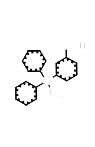 O=C(O)c1cccc([P+](Br)(c2ccccc2)c2ccccc2)c1.[Br-]